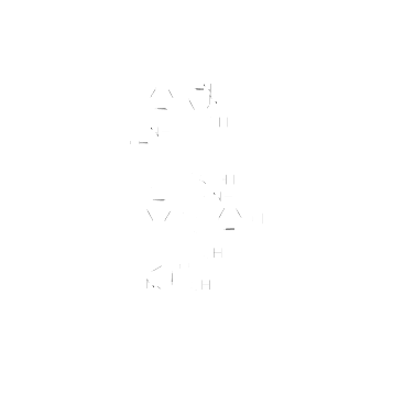 Cc1cc(-c2cccc(CNC(=O)CCCOc3ccc4c(c3)C3(CCC(Nc5cccc(Cl)c5)(C(=O)O)CC3)[C@@H](C[C@@H](C)COc3ccnc5c3[C@H](C)CCC5)C4)c2)cnn1